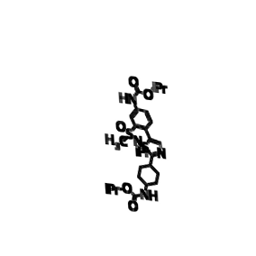 CC(C)N=S(C)(=O)c1cc(NC(=O)OC(C)C)ccc1-c1cnc(C2CCC(NC(=O)OC(C)C)CC2)s1